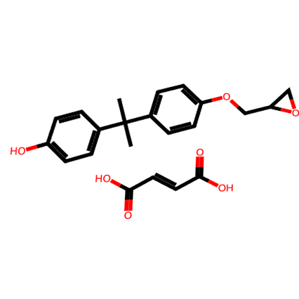 CC(C)(c1ccc(O)cc1)c1ccc(OCC2CO2)cc1.O=C(O)/C=C/C(=O)O